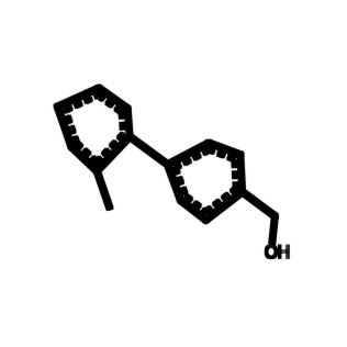 Cc1ccccc1-c1ccc(CO)cc1